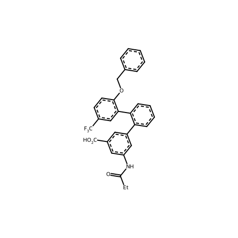 CCC(=O)Nc1cc(C(=O)O)cc(-c2ccccc2-c2cc(C(F)(F)F)ccc2OCc2ccccc2)c1